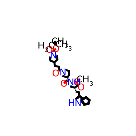 COC(=O)[C@H](CCc1c[nH]c2ccccc12)CNC(=O)[C@@H]1CCCN(C(=O)CCC2CCN(C(=O)OC(C)(C)C)CC2)C1